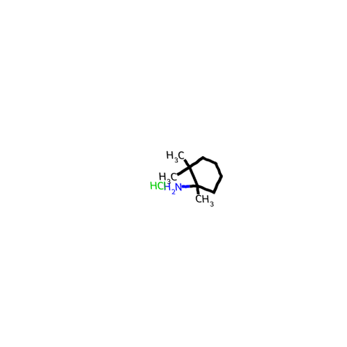 CC1(C)CCCCC1(C)N.Cl